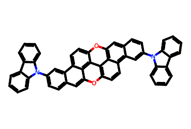 c1ccc2c(c1)c1ccccc1n2-c1ccc2cc3oc4ccc5c6cc(-n7c8ccccc8c8ccccc87)ccc6cc6oc7ccc(c2c1)c3c7-c4c65